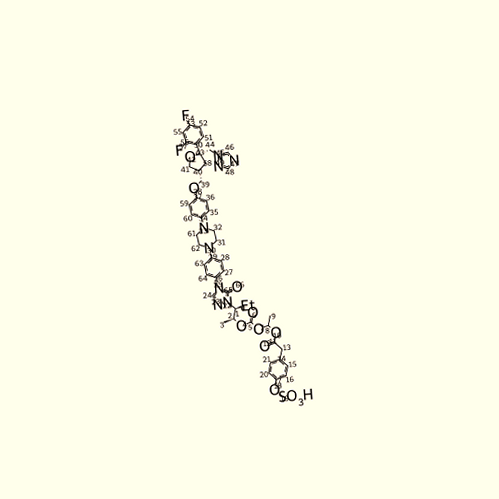 CC[C@@H]([C@H](C)OC(=O)OC(C)OC(=O)Cc1ccc(OS(=O)(=O)O)cc1)n1ncn(-c2ccc(N3CCN(c4ccc(OC[C@@H]5CO[C@@](Cn6cncn6)(c6ccc(F)cc6F)C5)cc4)CC3)cc2)c1=O